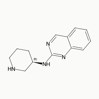 c1ccc2nc(N[C@@H]3CCCNC3)ncc2c1